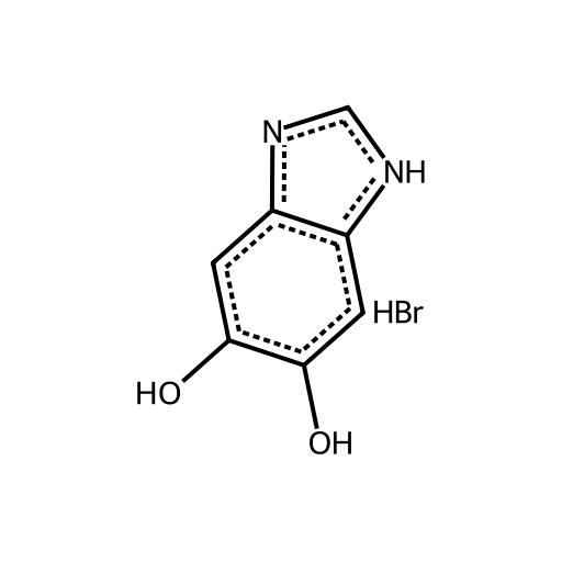 Br.Oc1cc2nc[nH]c2cc1O